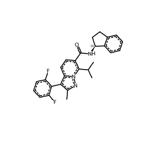 Cc1nn2c(C(C)C)c(C(=O)N[C@H]3CCc4ccccc43)ccc2c1-c1c(F)cccc1F